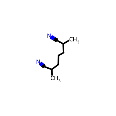 CC(C#N)CCCC(C)C#N